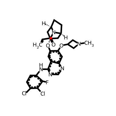 C=CC(=O)N1[C@@H]2CC[C@H]1C[C@H](Oc1cc3c(Nc4ccc(Cl)c(Cl)c4F)ncnc3cc1OC1CN(C)C1)C2